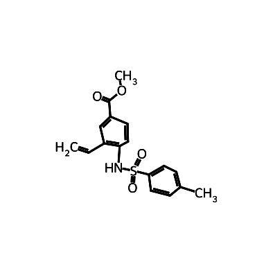 C=Cc1cc(C(=O)OC)ccc1NS(=O)(=O)c1ccc(C)cc1